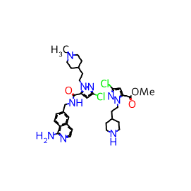 CN1CCC(CCn2nc(Cl)cc2C(=O)NCc2ccc3c(N)nccc3c2)CC1.COC(=O)c1cc(Cl)nn1CCC1CCNCC1